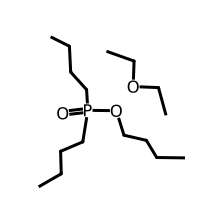 CCCCOP(=O)(CCCC)CCCC.CCOCC